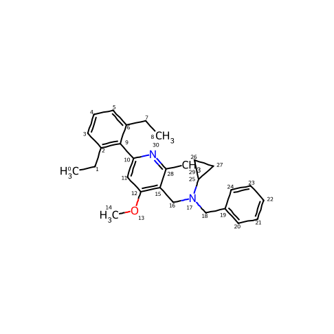 CCc1cccc(CC)c1-c1cc(OC)c(CN(Cc2ccccc2)C2CC2)c(C)n1